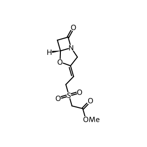 COC(=O)CS(=O)(=O)CC=C1CN2C(=O)C[C@H]2O1